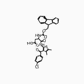 Cc1sc(NC(=O)C(CC(=O)O)NC(=O)OCC2c3ccccc3-c3ccccc32)c(C(=O)c2ccc(Cl)cc2)c1C